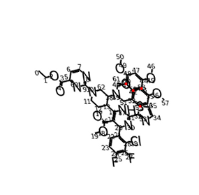 CCOC(=O)c1ccnc(N2CCC(C3=C(C(=O)OC)C(c4ccc(F)c(F)c4Cl)N=C(c4nccs4)N3)C(N(Cc3ccc(OC)cc3OC)Cc3ccc(OC)cc3OC)C2)n1